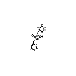 O=C(NCc1ccccc1)N(S)Cc1ccccc1